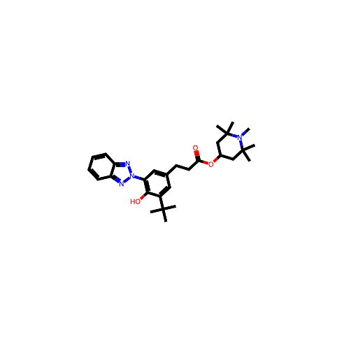 CN1C(C)(C)CC(OC(=O)CCc2cc(-n3nc4ccccc4n3)c(O)c(C(C)(C)C)c2)CC1(C)C